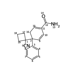 N#CC1(C2(c3ccccc3)C=CC(C(N)=O)=CC2)CCC1